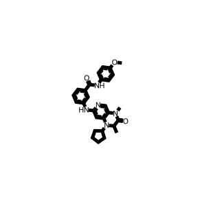 COc1ccc(NC(=O)c2cccc(Nc3cc4c(cn3)N(C)C(=O)C(C)N4C3CCCC3)c2)cc1